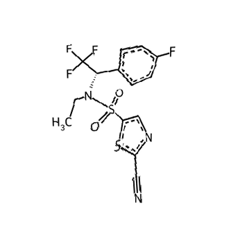 CCN([C@@H](c1ccc(F)cc1)C(F)(F)F)S(=O)(=O)c1cnc(C#N)s1